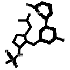 CC(C)CN1CCC(NS(C)(=O)=O)C1Cc1cc(F)cc(-c2cccc(F)c2)c1